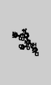 CN(C)c1ccc(-c2cc(NCc3ccc(Cl)s3)n(C(=O)c3ccoc3)n2)c(=O)n1CC(=O)c1cnsc1